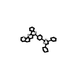 c1ccc(-c2cc(-c3ccccc3)nc(-c3ccc(-c4nc5ccccc5c5nc6c(ccc7cccnc76)cc45)cc3)n2)cc1